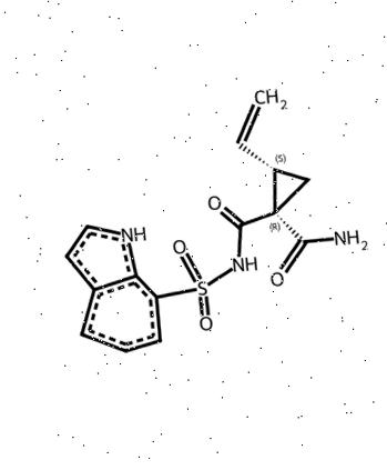 C=C[C@@H]1C[C@@]1(C(N)=O)C(=O)NS(=O)(=O)c1cccc2cc[nH]c12